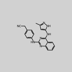 Cc1cc(Nc2nc(Nc3ccc(CC#N)cc3)nc3ccccc23)[nH]n1